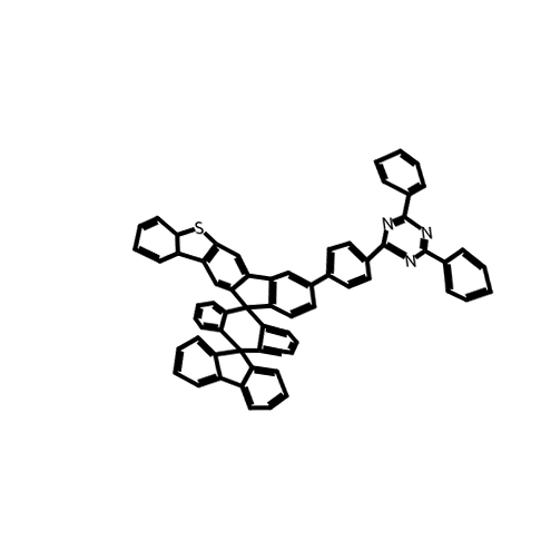 C1=CC2Sc3cc4c(cc3C2C=C1)C1(c2ccc(-c3ccc(-c5nc(-c6ccccc6)nc(-c6ccccc6)n5)cc3)cc2-4)c2ccccc2C2(c3ccccc3-c3ccccc32)c2ccccc21